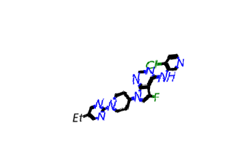 CCc1cnc(N2CCC(n3cc(F)c4c(Nc5cnccc5Cl)ncnc43)CC2)nc1